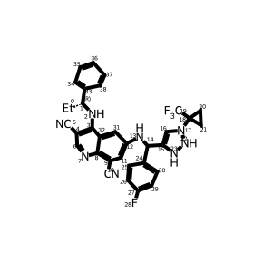 CC[C@@H](Nc1c(C#N)cnc2c(C#N)cc(NC(C3=CN(C4(C(F)(F)F)CC4)NN3)c3ccc(F)cc3)cc12)c1ccccc1